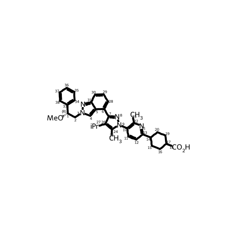 CO[C@@H](Cn1cc2c(-c3nn(-c4ccc(C5CCC(C(=O)O)CC5)nc4C)c(C)c3C(C)C)cccc2n1)c1ccccc1